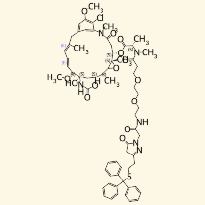 COc1cc2cc(c1Cl)N(C)C(=O)C[C@H](OC(=O)[C@H](C)N(C)C(=O)CCOCCOCCNC(=O)CN1N=C(CCSC(c3ccccc3)(c3ccccc3)c3ccccc3)CC1=O)[C@]1(C)OC1[C@H](C)[C@@H]1C[C@@](O)(NC(=O)O1)[C@H](OC)/C=C/C=C(\C)C2